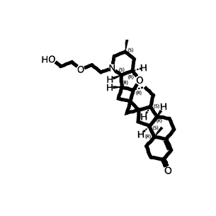 C[C@H]1C[C@H]2O[C@@]34CC[C@H]5[C@@H]6CCC7=CC(=O)CC[C@]7(C)[C@H]6CC56CC63C[C@@H]4[C@@H]2N(CCOCCO)C1